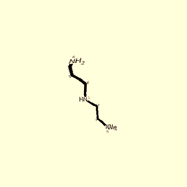 [CH2]NCCNCCN